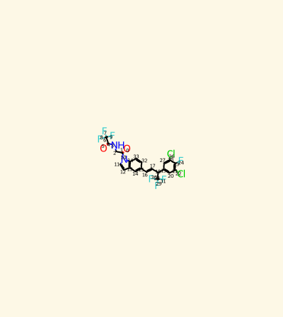 O=C(CNC(=O)C(F)(F)F)n1ccc2cc(/C=C/C(c3cc(Cl)c(F)c(Cl)c3)C(F)(F)F)ccc21